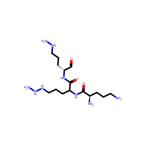 NCCC[C@@H](N)C(=O)NC(CCCNNN)C(=O)N[C@@H](C=O)CCCNN